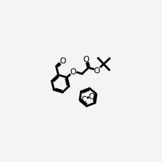 CC(C)(C)OC(=O)COc1ccccc1C=O.c1cc2ccc1CO2